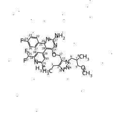 CCc1nnn(CC(C)COC)c1COc1nc(N)nc(-c2ccc(F)cc2)c1-c1cc(C)nc(C(F)F)c1